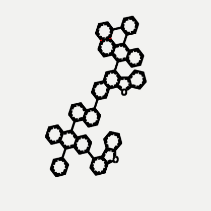 c1ccc(-c2ccccc2-c2c3ccccc3c(-c3cc4ccc(-c5cccc6c(-c7c8ccccc8c(-c8ccccc8)c8cc(-c9cccc%10oc%11ccccc%11c9%10)ccc78)cccc56)cc4c4oc5ccccc5c34)c3ccccc23)cc1